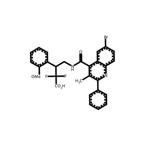 COc1ccccc1C(CNC(=O)c1c(C)c(-c2ccccc2)nc2ccc(Br)cc12)C(F)(F)C(=O)O